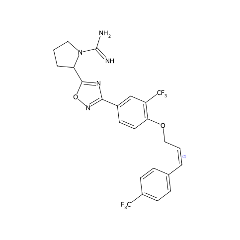 N=C(N)N1CCCC1c1nc(-c2ccc(OC/C=C\c3ccc(C(F)(F)F)cc3)c(C(F)(F)F)c2)no1